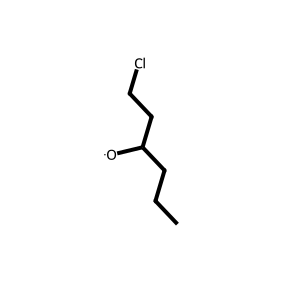 CCCC([O])CCCl